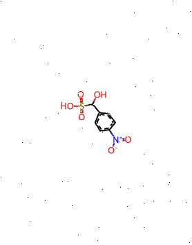 O=[N+]([O-])c1ccc(C(O)S(=O)(=O)O)cc1